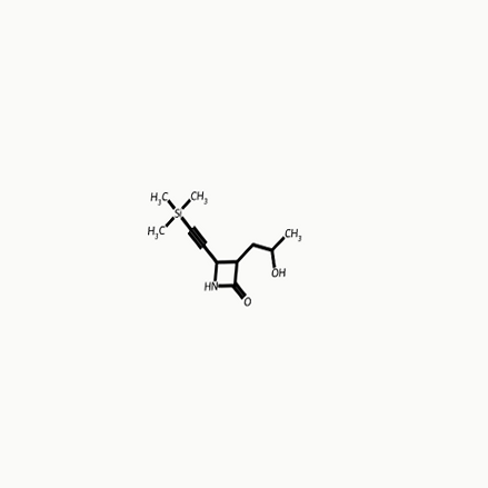 CC(O)CC1C(=O)NC1C#C[Si](C)(C)C